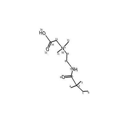 CCC(C)(C)C(=O)NCC[N+](C)(C)CC(=O)O